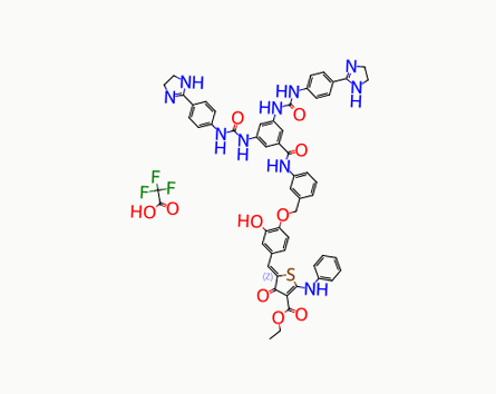 CCOC(=O)C1=C(Nc2ccccc2)S/C(=C\c2ccc(OCc3cccc(NC(=O)c4cc(NC(=O)Nc5ccc(C6=NCCN6)cc5)cc(NC(=O)Nc5ccc(C6=NCCN6)cc5)c4)c3)c(O)c2)C1=O.O=C(O)C(F)(F)F